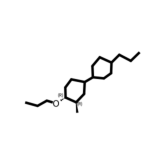 CCCO[C@@H]1CCC(C2CCC(CCC)CC2)C[C@H]1C